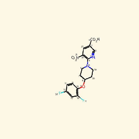 O=C(O)c1cnc(N2CCC(Oc3ccc(F)cc3F)CC2)c([N+](=O)[O-])c1